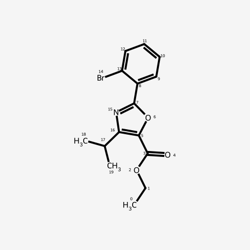 CCOC(=O)c1oc(-c2ccccc2Br)nc1C(C)C